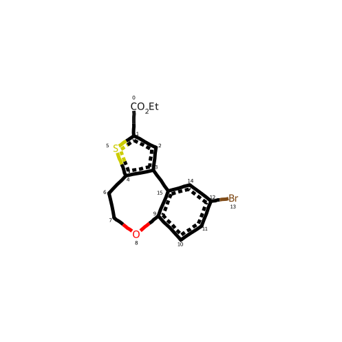 CCOC(=O)c1cc2c(s1)CCOc1ccc(Br)cc1-2